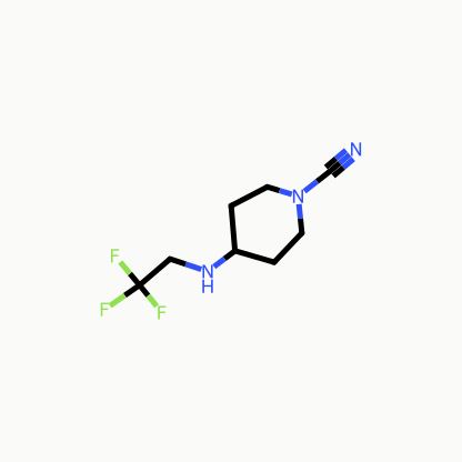 N#CN1CCC(NCC(F)(F)F)CC1